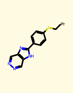 CC(C)CSc1ccc(-c2nc3cnncc3[nH]2)cc1